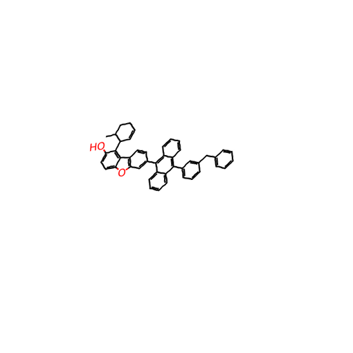 CC1CCC=CC1c1c(O)ccc2oc3cc(-c4c5ccccc5c(-c5cccc(Cc6ccccc6)c5)c5ccccc45)ccc3c12